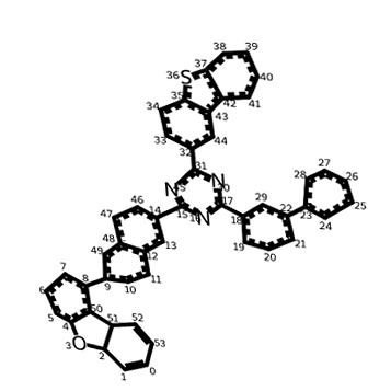 C1=CC2Oc3cccc(-c4ccc5cc(-c6nc(-c7cccc(-c8ccccc8)c7)nc(-c7ccc8sc9ccccc9c8c7)n6)ccc5c4)c3C2C=C1